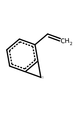 C=Cc1cccc2c1[C]2